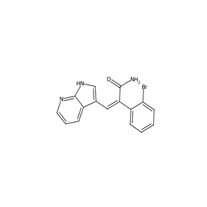 NC(=O)C(=Cc1c[nH]c2ncccc12)c1ccccc1Br